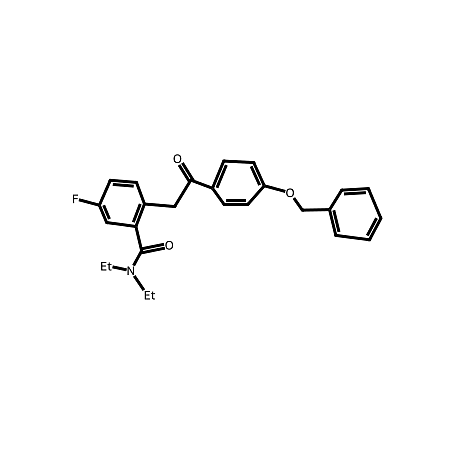 CCN(CC)C(=O)c1cc(F)ccc1CC(=O)c1ccc(OCc2ccccc2)cc1